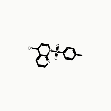 Cc1ccc(S(=O)(=O)N2C=CC(Br)c3cccnc32)cc1